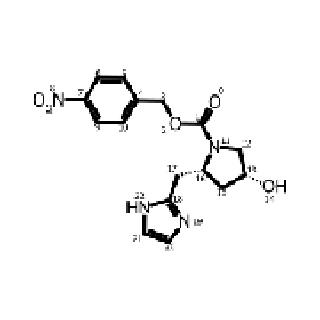 O=C(OCc1ccc([N+](=O)[O-])cc1)N1C[C@H](O)C[C@@H]1Cc1ncc[nH]1